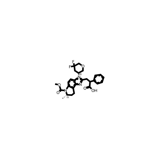 COC(=O)N1c2ccc3c(nc(CC(C(=O)O)c4ccccc4)n3[C@H]3COCC(F)(F)C3)c2CC[C@@H]1C